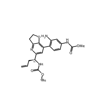 C=CC[C@H](NC(=O)OC(C)(C)C)c1cc(-c2ccc(NC(=O)OC)cc2N)c2c(n1)CCO2